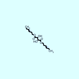 CC/C=C/CCOC(=O)C(O)C(O)C(=O)OCC/C=C/CC